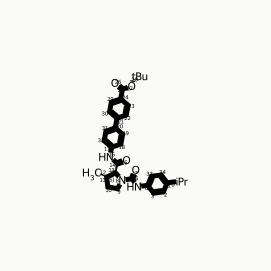 CC(C)c1ccc(NC(=O)N2CC[C@H](C)[C@H]2C(=O)Nc2ccc(-c3ccc(C(=O)OC(C)(C)C)cc3)cc2)cc1